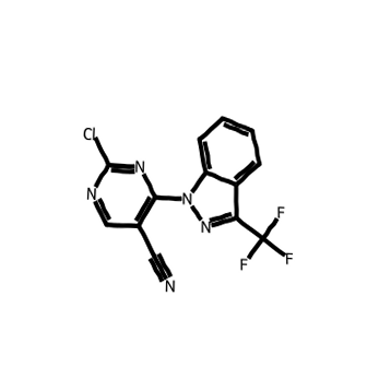 N#Cc1cnc(Cl)nc1-n1nc(C(F)(F)F)c2ccccc21